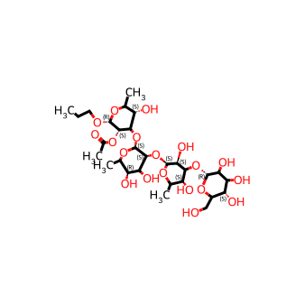 CCCO[C@@H]1OC(C)[C@H](O)C(O[C@@H]2OC(C)[C@H](O)C(O)[C@@H]2O[C@@H]2OC(C)[C@H](O)C(O[C@H]3OC(CO)[C@@H](O)C(O)C3O)[C@@H]2O)[C@@H]1OC(C)=O